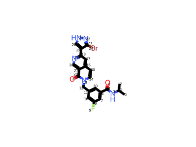 CC(C)NC(=O)c1cc(F)cc(Cn2ccc3cc(-c4c[nH]nc4Br)ncc3c2=O)c1